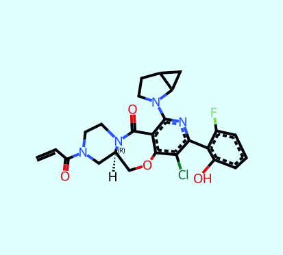 C=CC(=O)N1CCN2C(=O)c3c(N4CCC5CC54)nc(-c4c(O)cccc4F)c(Cl)c3OC[C@H]2C1